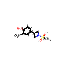 CS(=O)(=O)N1CC(c2ccc(O)c([N+](=O)[O-])c2)C1